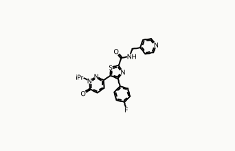 CC(C)n1nc(-c2sc(C(=O)NCc3ccncc3)nc2-c2ccc(F)cc2)ccc1=O